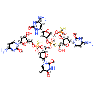 Cc1cn([C@H]2CC(OP(=O)(S)OC[C@H]3O[C@@H](n4ccc(N)nc4=O)CC3O)[C@@H](COP(=O)(S)OC3C[C@H](c4cc(N)nc(=O)[nH]4)O[C@@H]3COP(=O)(S)OC3C[C@H](n4ccc(N)nc4=O)O[C@@H]3CO)O2)c(=O)[nH]c1=O